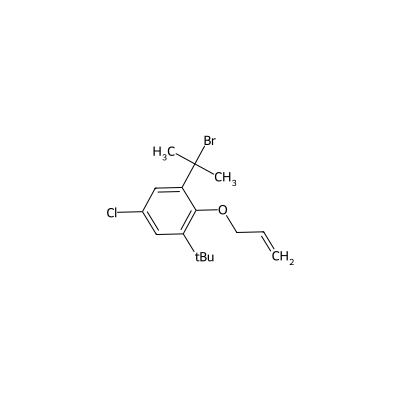 C=CCOc1c(C(C)(C)C)cc(Cl)cc1C(C)(C)Br